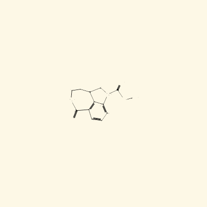 CC(C)(C)OC(=O)N1CC2CCNC(=O)c3cccc1c32